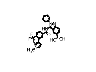 C[C@H](O)c1ccc2nn(-c3ccccc3)c(NC(=O)c3ccc(C(F)(F)F)c(-c4ccn(C)n4)c3)c2c1